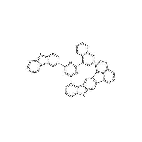 c1ccc2c(-c3nc(-c4ccc5sc6ccccc6c5c4)nc(-c4cccc5sc6cc7c(cc6c45)-c4cccc5cccc-7c45)n3)cccc2c1